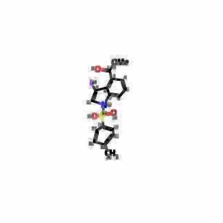 COC(=O)c1cccc2c1c(I)cn2S(=O)(=O)c1ccc(C)cc1